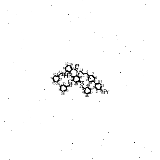 CC(C)c1ccc(-c2ccc(CCCN3C(=O)c4cccc(OCc5ccccc5)c4Nc4c(OCc5ccccc5)cc(OCc5ccccc5)cc43)cc2)cc1